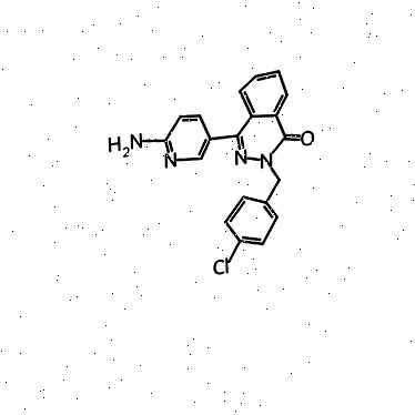 Nc1ccc(-c2nn(Cc3ccc(Cl)cc3)c(=O)c3ccccc23)cn1